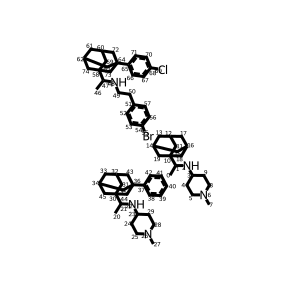 CC(NC1CCN(C)CC1)C12CC3CC(CC(C3)C1)C2.CC(NC1CCN(C)CC1)C12CC3CC(CC(c4ccccc4)(C3)C1)C2.CC(NCCc1ccc(Br)cc1)C12CC3CC(CC(c4ccc(Cl)cc4)(C3)C1)C2